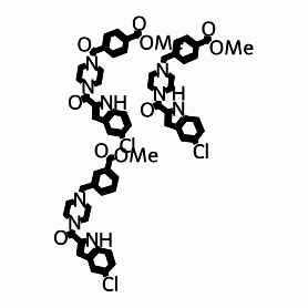 COC(=O)c1ccc(C(=O)N2CCN(C(=O)c3cc4cc(Cl)ccc4[nH]3)CC2)cc1.COC(=O)c1ccc(CN2CCN(C(=O)c3cc4cc(Cl)ccc4[nH]3)CC2)cc1.COC(=O)c1cccc(CN2CCN(C(=O)c3cc4cc(Cl)ccc4[nH]3)CC2)c1